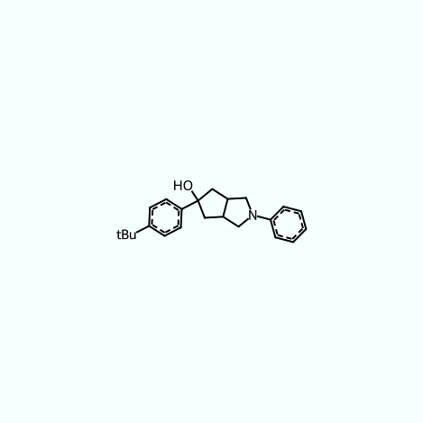 CC(C)(C)c1ccc(C2(O)CC3CN(c4ccccc4)CC3C2)cc1